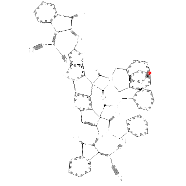 N#CC(C#N)=C1/C(=N/C2=Cc3sc4c(c3C2(C(=O)OCc2ccccc2)C(=O)OCc2ccccc2)C(C(=O)OCc2ccccc2)(C(=O)OCc2ccccc2)c2c-4sc3cc(/N=C4/C(=O)c5ccccc5C4=C(C#N)C#N)sc23)C(=O)c2ccccc21